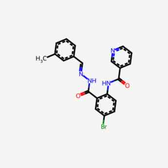 Cc1cccc(C=NNC(=O)c2cc(Br)ccc2NC(=O)c2cccnc2)c1